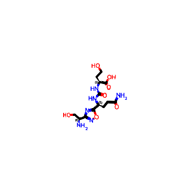 NC(=O)CC[C@H](NC(=O)N[C@@H](CCO)C(=O)O)c1nc([C@@H](N)CO)no1